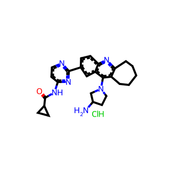 Cl.NC1CCN(c2c3c(nc4ccc(-c5nccc(NC(=O)C6CC6)n5)cc24)CCCCC3)C1